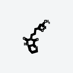 Cc1cc(CCCn2c(=O)[nH]c3cccnc3c2=O)on1